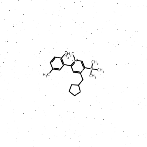 Cc1ccc(C)c(-c2cc(CC3CCCC3)c([Si](C)(C)C)c[n+]2C)c1